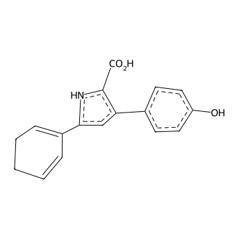 O=C(O)c1[nH]c(C2=CCCC=C2)cc1-c1ccc(O)cc1